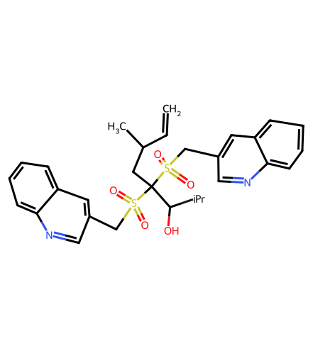 C=CC(C)CC(C(O)C(C)C)(S(=O)(=O)Cc1cnc2ccccc2c1)S(=O)(=O)Cc1cnc2ccccc2c1